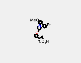 CCc1cccc(-c2ccc(OC)cc2N2CCC(COc3cccc([C@@H](CC(=O)O)C4CC4)c3)CC2)c1